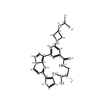 CCN(CC)[C@@H](C)CNC(=O)c1cc(-c2cnn3ccc(-c4cccs4)nc23)nc(N2CC(OC(F)F)C2)c1